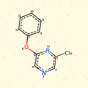 Clc1cncc(Oc2ccccc2)n1